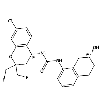 O=C(Nc1cccc2c1C[C@H](O)CC2)N[C@@H]1CC(CF)(CF)Oc2cc(Cl)ccc21